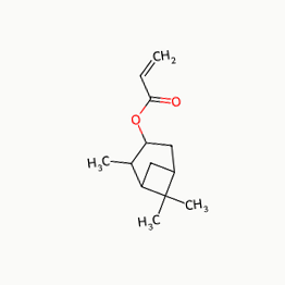 C=CC(=O)OC1CC2CC(C1C)C2(C)C